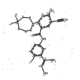 C#Cc1cc(C(=O)Nc2ccc(F)c(C(N)=NO)c2)c(N2CCCC(F)(F)CC2)nc1C